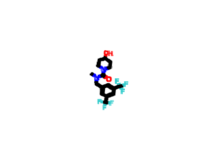 CN(Cc1cc(C(F)(F)F)cc(C(F)(F)F)c1)C(=O)N1CCC(O)CC1